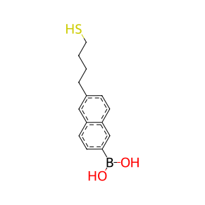 OB(O)c1ccc2cc(CCCCS)ccc2c1